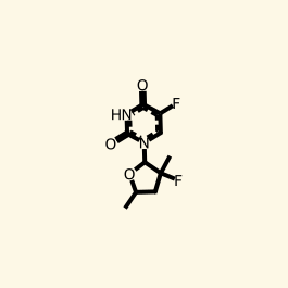 CC1CC(C)(F)C(n2cc(F)c(=O)[nH]c2=O)O1